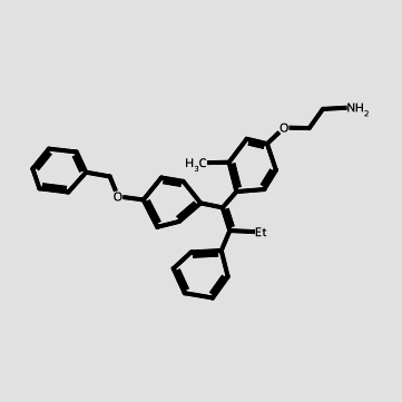 CCC(=C(c1ccc(OCc2ccccc2)cc1)c1ccc(OCCN)cc1C)c1ccccc1